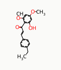 CCc1ccc(/C=C/C(=O)c2c(O)cc(OC)cc2OC)cc1